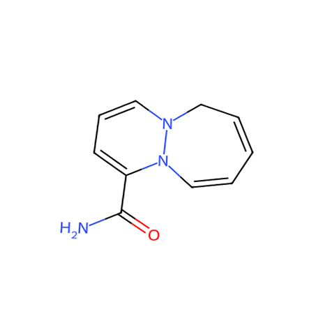 NC(=O)C1=CC=CN2CC=CC=CN12